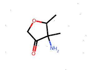 CC1OCC(=O)C1(C)N